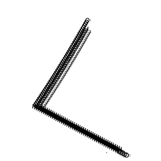 N.N.N.N.N.N.N.N.N.N.N.N.N.N.N.N.N.N.N.N.N.N.N.N.N.N.N.N.N.N.N.N.N.N.N.N.N.N.N.N.N.N.N.N.N.N.N.N.N.N.N.N.N.N.N.N.N.N.N.N.N.N.N.N.N.N.N.N.N.N.N.N.N.N.N.N.N.N.N.N.N.N.N.N.N.N.N.N.N.[N].[O].[O].[O].[O].[O].[O].[O].[O].[O].[O]